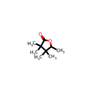 CC1OC(=O)C(C)(C)C1(C)C